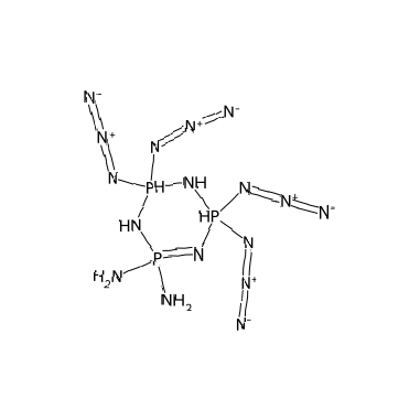 [N-]=[N+]=N[PH]1(N=[N+]=[N-])N=P(N)(N)N[PH](N=[N+]=[N-])(N=[N+]=[N-])N1